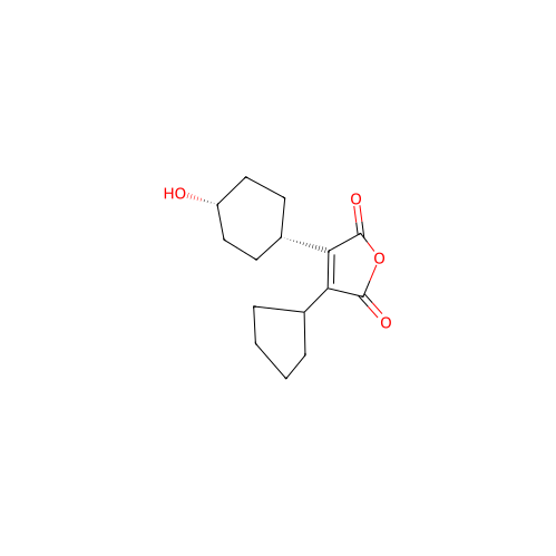 O=C1OC(=O)C([C@H]2CC[C@@H](O)CC2)=C1C1CCCC1